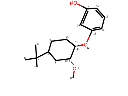 CO[C@@H]1CC(C(C)(C)C)CC[C@H]1Oc1cccc(O)c1